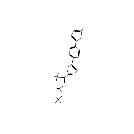 CC(C)(C)OC(=O)NC(c1ncc(-c2ccc(-c3ccc(Br)s3)cc2)[nH]1)C(C)(C)C